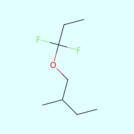 CCC(C)COC(F)(F)CC